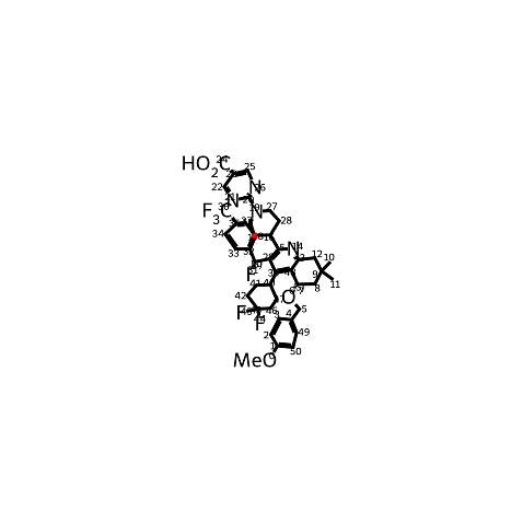 COc1ccc(CO[C@H]2CC(C)(C)Cc3nc(C4CCN(c5ncc(C(=O)O)cn5)CC4)c([C@@H](F)c4ccc(C(F)(F)F)cc4)c(C4CCC(F)(F)CC4)c32)cc1